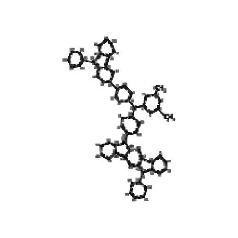 Cc1cc(C)cc(N(c2ccc(-c3ccc4c(c3)c3ccccc3n4-c3ccccc3)cc2)c2ccc(-n3c4ccccc4c4cc5c(cc43)c3ccccc3n5-c3ccccc3)cc2)c1